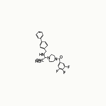 Cl.O=CC(NCc1ccc(-c2ccccc2)cc1)N1CCN(C(=O)c2cc(F)c(F)c(F)c2)CC1